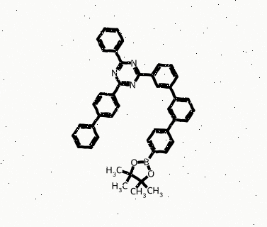 CC1(C)OB(c2ccc(-c3cccc(-c4cccc(-c5nc(-c6ccccc6)nc(-c6ccc(-c7ccccc7)cc6)n5)c4)c3)cc2)OC1(C)C